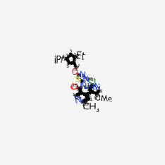 CCC1CC(C(C)C)CC1COc1nnc(NC(=O)c2cnc(C)cc2-c2cc(Cl)ncc2OC)s1